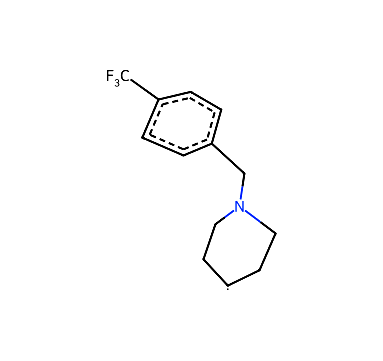 FC(F)(F)c1ccc(CN2CC[CH]CC2)cc1